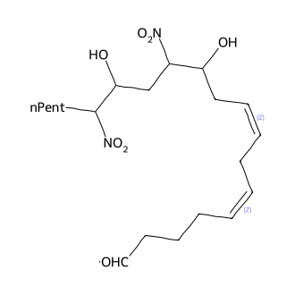 CCCCCC(C(O)CC(C(O)C/C=C\C/C=C\CCC[C]=O)[N+](=O)[O-])[N+](=O)[O-]